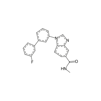 CNC(=O)c1ccc2c(c1)ncn2-c1cccc(-c2cccc(F)c2)c1